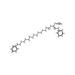 CC(C)(C)CC(COCCCCCCCCCCCCCCCc1ccccc1)OCc1ccccc1